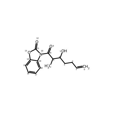 C=CCCC(O)C(C)C(=O)n1c(=O)oc2ccccc21